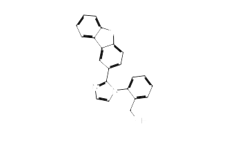 CCc1ccccc1-n1ccnc1-c1ccc2oc3ccccc3c2c1